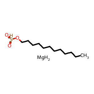 CCCCCCCCCCCCO[SH](=O)=O.[MgH2]